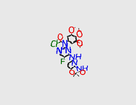 COc1cc(N(C(=O)Cl)c2ncc(F)c(Nc3ccc4c(n3)NC(=O)C(C)(C)O4)n2)cc(OC)c1OC